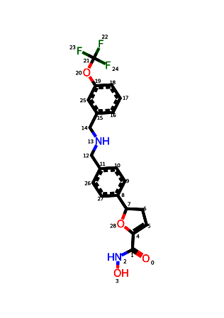 O=C(NO)C1=CCC(c2ccc(CNCc3cccc(OC(F)(F)F)c3)cc2)O1